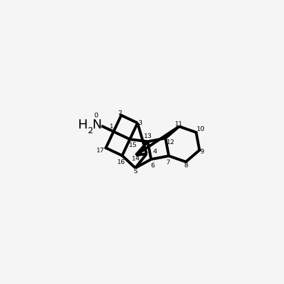 NC12CC3C4C5C6C7CCCC8C7C6(C84)C31C5C2